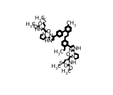 CCc1ccc(CCc2ccc(C)cc2-c2ccc(-c3c[nH]c([C@@H]4CCCN4C(=O)[C@H](CCSC)NC(=O)OC)n3)cc2)cc1-c1c[nH]c([C@@H]2CCCN2C(=O)[C@H](CCSC)NC(=O)OC)n1